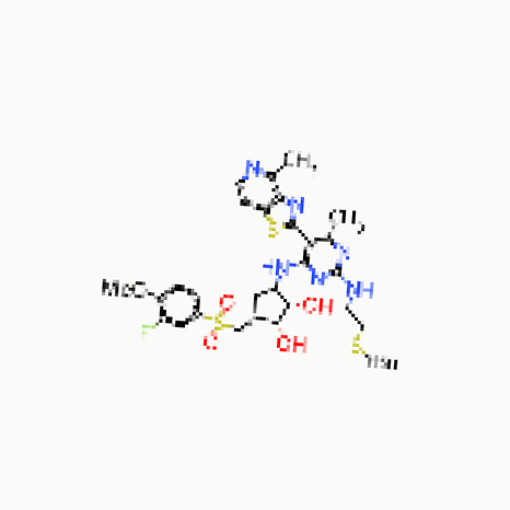 COc1ccc(S(=O)(=O)C[C@H]2C[C@@H](Nc3nc(NCCSC(C)(C)C)nc(C)c3-c3nc4c(C)nccc4s3)[C@H](O)[C@@H]2O)cc1F